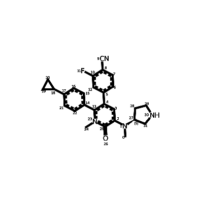 CN(c1cc(-c2ccc(C#N)c(F)c2)c(-c2ccc(C3CC3)cc2)n(C)c1=O)[C@H]1CCNC1